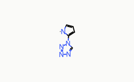 C1=C[N]C(n2cnnn2)=C1